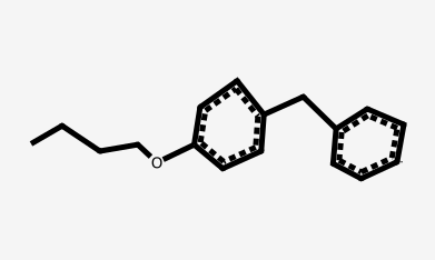 CCCCOc1ccc(Cc2cc[c]cc2)cc1